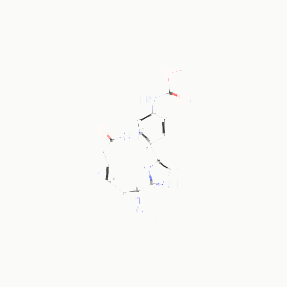 COC(=O)Nc1ccc2c(c1)NC(=O)C/C=C/C[C@H](N)c1nc-2c[nH]1